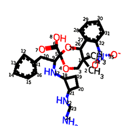 CC1(C)COC(C(=O)O)(C(Cc2ccccc2)NC2CCC2NCN)OC1c1ccccc1[N+](=O)[O-]